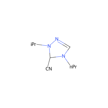 CCCN1C=NN(C(C)C)C1C#N